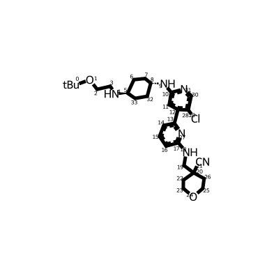 CC(C)(C)OCCN[C@H]1CC[C@H](Nc2cc(-c3cccc(NCC4(C#N)CCOCC4)n3)c(Cl)cn2)CC1